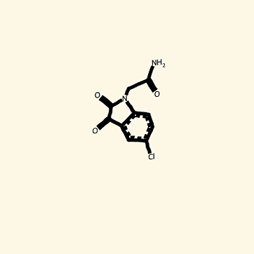 NC(=O)CN1C(=O)C(=O)c2cc(Cl)ccc21